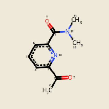 CC(=O)c1cccc(C(=O)N(C)C)n1